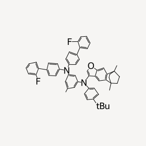 Cc1cc(N(c2ccc(-c3ccccc3F)cc2)c2ccc(-c3ccccc3F)cc2)cc(N(c2ccc(C(C)(C)C)cc2)c2coc3cc4c(cc23)C2(C)CCC4(C)CC2)c1